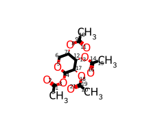 CC(=O)OC1OC[C@H](OC(C)=O)[C@H](OC(C)=O)[C@@H]1OC(C)=O